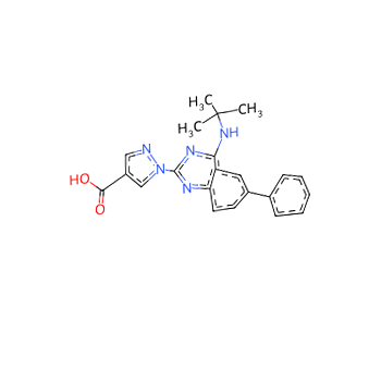 CC(C)(C)Nc1nc(-n2cc(C(=O)O)cn2)nc2ccc(-c3ccccc3)cc12